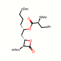 CCCCCCCCCCCCC[C@@H](C[C@@H]1OC(=O)[C@H]1CCCCCC)OC(=O)[C@H](CC(C)C)NC